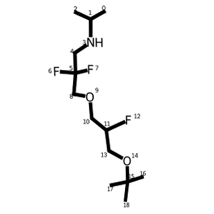 CC(C)NCC(F)(F)COCC(F)COC(C)(C)C